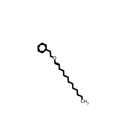 CCCCCCCCCCCC=COCCc1ccccc1